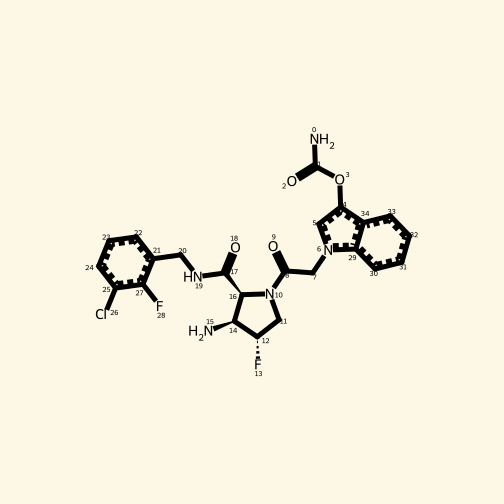 NC(=O)Oc1cn(CC(=O)N2C[C@H](F)[C@@H](N)[C@H]2C(=O)NCc2cccc(Cl)c2F)c2ccccc12